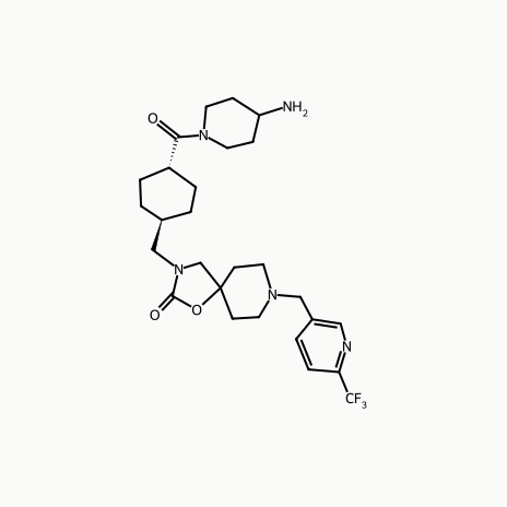 NC1CCN(C(=O)[C@H]2CC[C@H](CN3CC4(CCN(Cc5ccc(C(F)(F)F)nc5)CC4)OC3=O)CC2)CC1